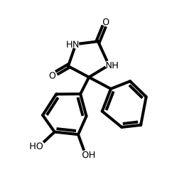 O=C1NC(=O)C(c2ccccc2)(c2ccc(O)c(O)c2)N1